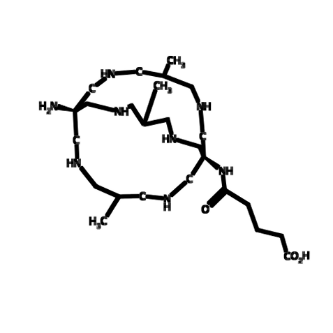 CC1CNC[C@]2(N)CNCC(C)CNC[C@](NC(=O)CCCC(=O)O)(CNC1)CNCC(C)CNC2